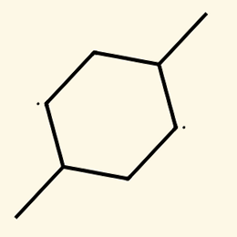 CC1[CH]CC(C)[CH]C1